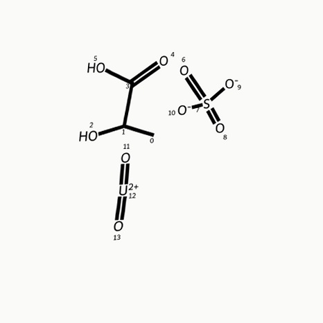 CC(O)C(=O)O.O=S(=O)([O-])[O-].[O]=[U+2]=[O]